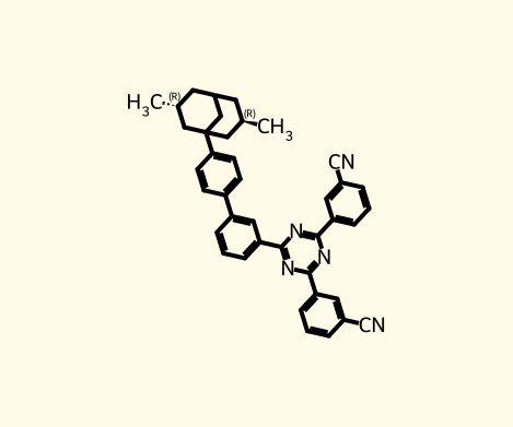 C[C@@H]1CC2C[C@@H](C)CC(c3ccc(-c4cccc(-c5nc(-c6cccc(C#N)c6)nc(-c6cccc(C#N)c6)n5)c4)cc3)(C2)C1